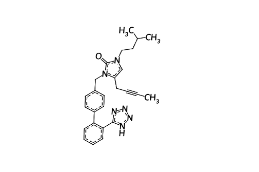 CC#CCc1cn(CCC(C)C)c(=O)n1Cc1ccc(-c2ccccc2-c2nnn[nH]2)cc1